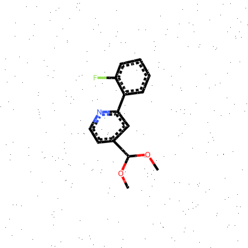 COC(OC)c1ccnc(-c2ccccc2F)c1